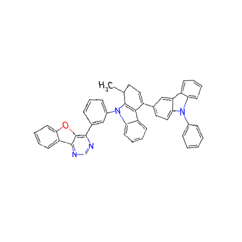 CC1CC=C(c2ccc3c(c2)c2ccccc2n3-c2ccccc2)c2c1n(-c1cccc(-c3ncnc4c3oc3ccccc34)c1)c1ccccc21